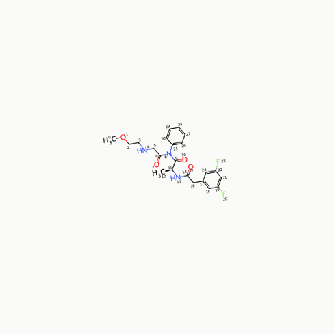 COCCNCC(=O)N(C(=O)[C@H](C)NC(=O)Cc1cc(F)cc(F)c1)c1ccccc1